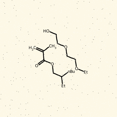 C=C(C)C(=O)OCC(CC)CCCC.CCOCCOCCO